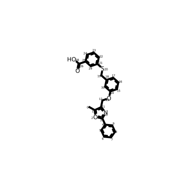 Cc1oc(-c2ccccc2)nc1COc1cccc(CSc2cccc(C(=O)O)c2)c1